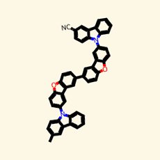 Cc1ccc2c(c1)c1ccccc1n2-c1ccc2oc3ccc(-c4ccc5oc6ccc(-n7c8ccccc8c8cc(C#N)ccc87)cc6c5c4)cc3c2c1